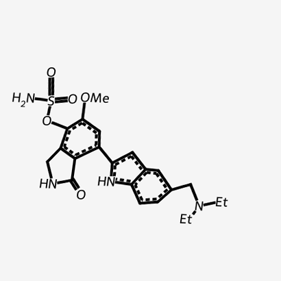 CCN(CC)Cc1ccc2[nH]c(-c3cc(OC)c(OS(N)(=O)=O)c4c3C(=O)NC4)cc2c1